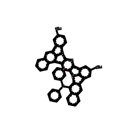 CC(C)(C)c1ccc2c(c1)c1cc3ccccc3c3c4nc5c(nc4n2c13)c1cc(C(C)(C)C)cc2c3cc4ccccc4c(N(c4ccccc4)c4ccccc4)c3n5c21